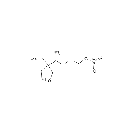 NC(CCCO[SH](=O)=O)C(CO)(CO)CO